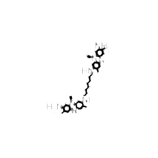 C#CN1c2cc(N)c(C)cc2N=C2C=C(C)C(NCCCCCCCCNc3cc4c(cc3C)nc3cc(C)c(N)cc3[n+]4C#C)=CC21